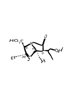 CC[C@H]1S[C@@H]2[C@H](C(C)O)C(=O)N2[C@@H]1C(=O)O